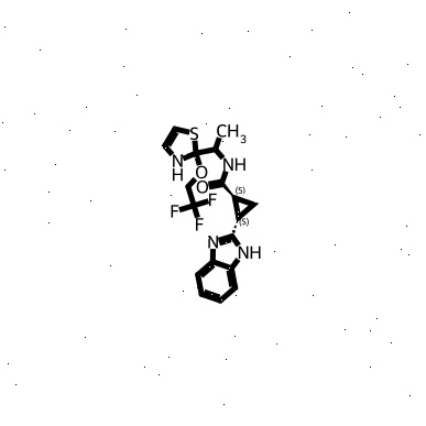 CC(NC(=O)[C@H]1C[C@@H]1c1nc2ccccc2[nH]1)C1(OCC(F)(F)F)NC=CS1